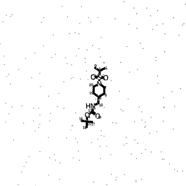 CC(C)S(=O)(=O)N1CCC(CNC(=O)OC(C)(C)C)CC1